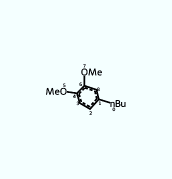 [CH2]CCCc1ccc(OC)c(OC)c1